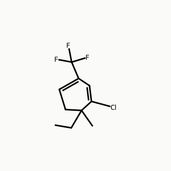 CCC1(C)CC=C(C(F)(F)F)C=C1Cl